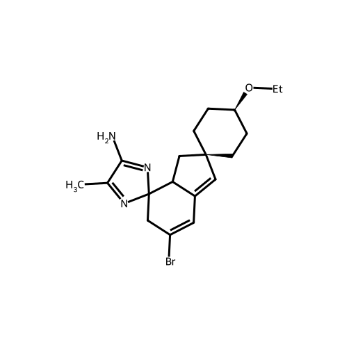 CCO[C@H]1CC[C@]2(C=C3C=C(Br)CC4(N=C(C)C(N)=N4)C3C2)CC1